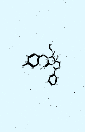 CCOC1[C@@H]2CSC(c3ccccc3)N2C(=O)N1Cc1ccc(C)cc1